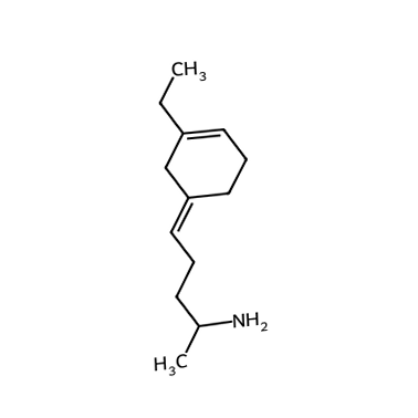 CCC1=CCC/C(=C\CCC(C)N)C1